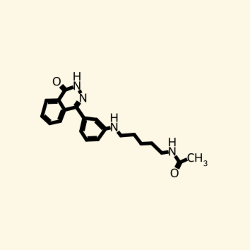 CC(=O)NCCCCCNc1cccc(-c2n[nH]c(=O)c3ccccc23)c1